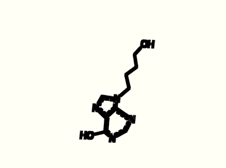 OCCCCn1cnc2c(O)ncnc21